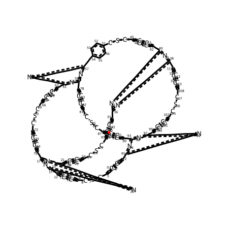 c1cc2ccc1CSCc1ccc(cc1)-c1nc3nc(n1)-c1ccc(cc1)CSCc1ccc(cc1)-c1nc4nc(n1)-c1ccc(cc1)CSCc1ccc(cc1)-c1nc(nc(n1)-c1ccc(cc1)CSCc1ccc-3cc1)-c1ccc(cc1)CSCc1ccc(cc1)-c1nc-2nc(n1)-c1ccc(cc1)CSCc1ccc-4cc1